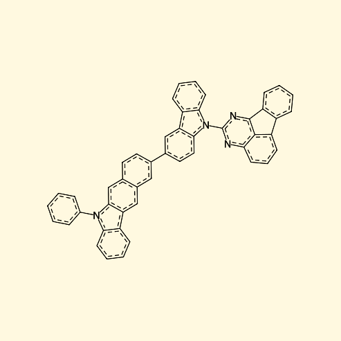 c1ccc(-n2c3ccccc3c3cc4cc(-c5ccc6c(c5)c5ccccc5n6-c5nc6c7c(cccc7n5)-c5ccccc5-6)ccc4cc32)cc1